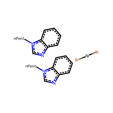 CCCCCn1cnc2ccccc21.CCCCCn1cnc2ccccc21.[Br][Ni][Br]